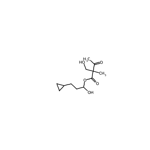 CC(=O)C(C)(CO)C(=O)OC(O)CCC1CC1